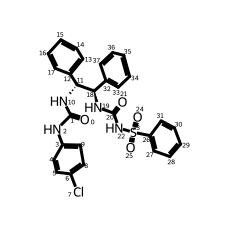 O=C(Nc1ccc(Cl)cc1)N[C@H](c1ccccc1)[C@H](NC(=O)NS(=O)(=O)c1ccccc1)c1ccccc1